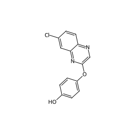 Oc1ccc(Oc2cnc3ccc(Cl)cc3n2)cc1